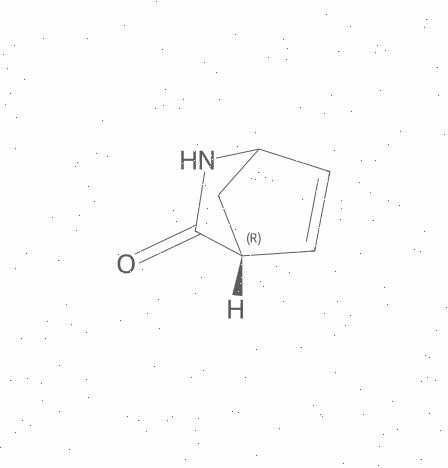 O=C1NC2C=C[C@H]1C2